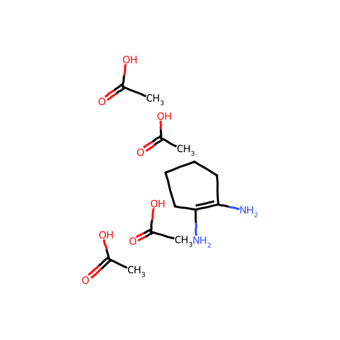 CC(=O)O.CC(=O)O.CC(=O)O.CC(=O)O.NC1=C(N)CCCC1